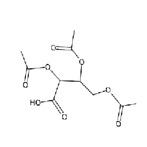 CC(=O)OCC(OC(C)=O)C(OC(C)=O)C(=O)O